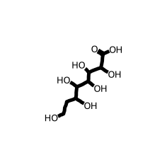 O=C(O)C(O)C(O)C(O)C(O)C(O)CCO